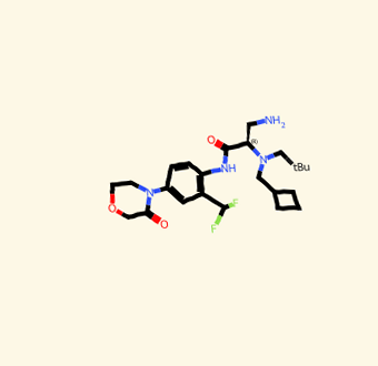 CC(C)(C)CN(CC1CCC1)[C@H](CN)C(=O)Nc1ccc(N2CCOCC2=O)cc1C(F)F